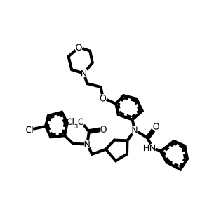 O=C(Nc1ccccc1)N(c1cccc(OCCN2CCOCC2)c1)C1CCC(CN(Cc2cccc(Cl)c2)C(=O)C(Cl)(Cl)Cl)C1